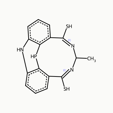 CC1/N=C(/S)c2cccc3c2Pc2c(cccc2/C(S)=N\1)N3